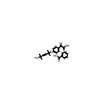 CC(C)(O)C#CC(C)(C)O.O=C(O)C(=O)c1ccccc1.O=C(O)c1ccccc1